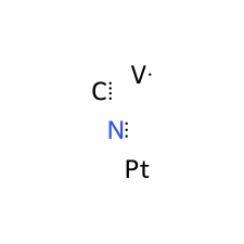 [C].[N].[Pt].[V]